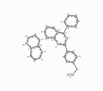 NCc1ccc(-c2nc(-c3ccccc3)c3ccccc3n2)cc1.c1ccc2ncccc2c1